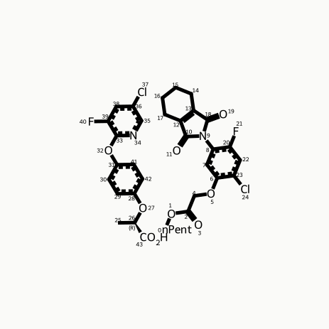 CCCCCOC(=O)COc1cc(N2C(=O)C3=C(CCCC3)C2=O)c(F)cc1Cl.C[C@@H](Oc1ccc(Oc2ncc(Cl)cc2F)cc1)C(=O)O